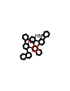 c1ccc(-c2c(-c3cccc4ccccc34)ccc3c2[nH]c2ccccc23)c(-c2ccccc2-c2c(-c3cccc4ccccc34)ccc3c2[nH]c2ccccc23)c1